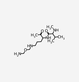 CNC(C(=O)NC(CCCNCOCN)C(C)=O)C(C)C